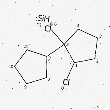 ClC1CCCC1(Cl)C1CCCC1.[SiH4]